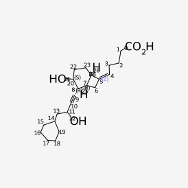 O=C(O)CCC/C=C1/C[C@H]2[C@H](C#CC(O)CC3CCCCC3)[C@@H](O)CC[C@@H]12